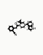 N#Cc1ccccc1CC(=O)N1CCN(c2ncnc3[nH]ccc23)CC12CC2